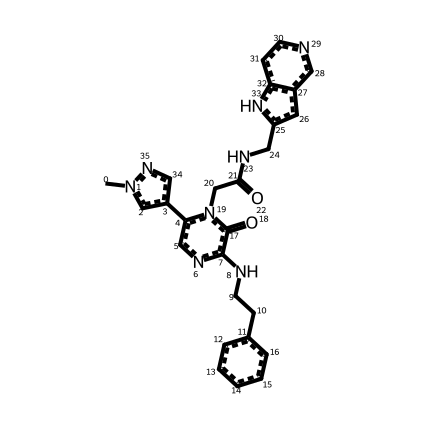 Cn1cc(-c2cnc(NCCc3ccccc3)c(=O)n2CC(=O)NCc2cc3cnccc3[nH]2)cn1